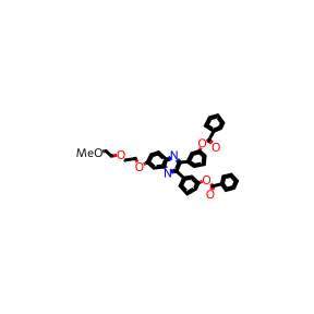 COCCOCCOc1ccc2nc(-c3cccc(OC(=O)c4ccccc4)c3)c(-c3cccc(OC(=O)c4ccccc4)c3)nc2c1